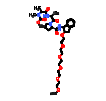 CCCCOCCOCCOCCOCCOCCO[C@@H]1Cc2ccccc2[C@@H]1NC(=O)[C@@H]1CCCN1C(=O)[C@@H](NC(=O)[C@H](C)N(C)C(=O)OC(C)(C)C)C(C)(C)C